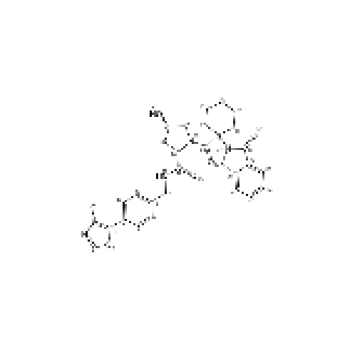 Cc1ncsc1-c1ccc(CNC(=O)[C@@H]2C[C@@H](O)CN2C(=O)C2(N3Cc4ccccc4C3=O)CCCCC2)cc1